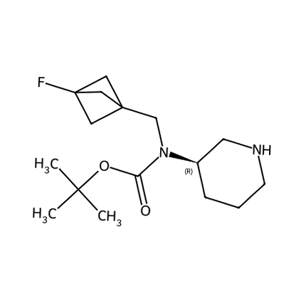 CC(C)(C)OC(=O)N(CC12CC(F)(C1)C2)[C@@H]1CCCNC1